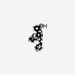 O=c1c2c(nc(CCCN3CCOCC3)n1Cc1cncs1)sc1c(O)cccc12